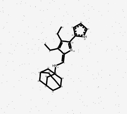 CCC1=C(CC)/C(=C\NC23CC4CC(CC(C4)C2)C3)N=C1c1ccc[nH]1